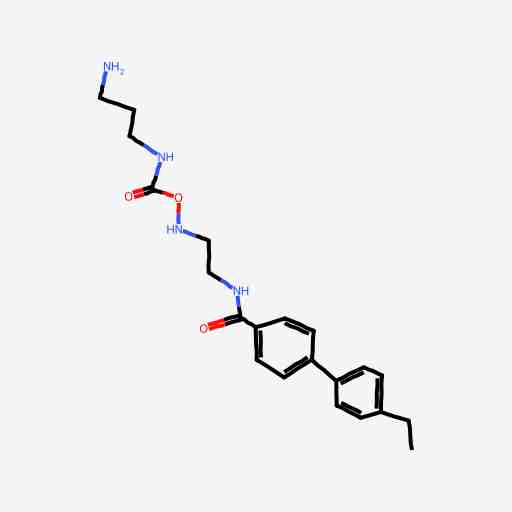 CCc1ccc(-c2ccc(C(=O)NCCNOC(=O)NCCCN)cc2)cc1